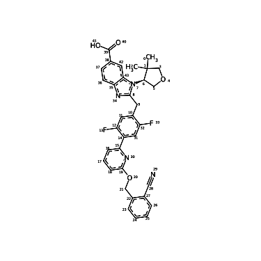 CC1(C)COC[C@H]1n1c(Cc2cc(F)c(-c3cccc(OCc4ccccc4C#N)n3)cc2F)nc2ccc(C(=O)O)cc21